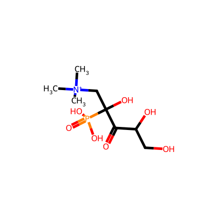 C[N+](C)(C)CC(O)(C(=O)C(O)CO)P(=O)(O)O